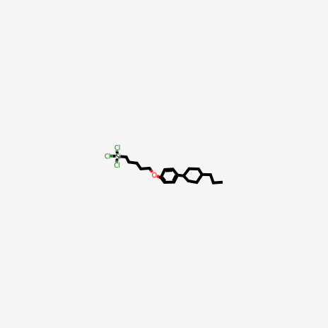 CCCC1CCC(c2ccc(OCCCCC[Si](Cl)(Cl)Cl)cc2)CC1